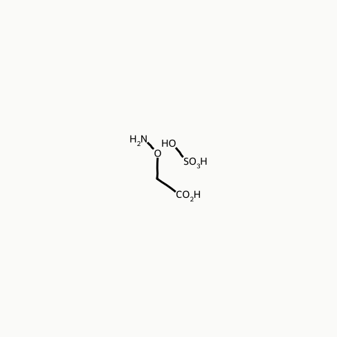 NOCC(=O)O.O=S(=O)(O)O